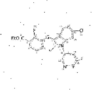 CCOC(=O)c1cccc(Sc2c(C)n(-c3cncc(C)c3)c3cc(Cl)ccc23)c1F